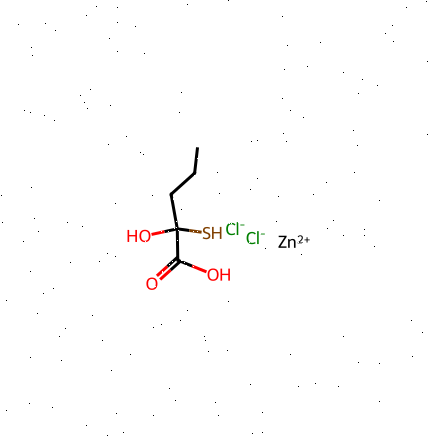 CCCC(O)(S)C(=O)O.[Cl-].[Cl-].[Zn+2]